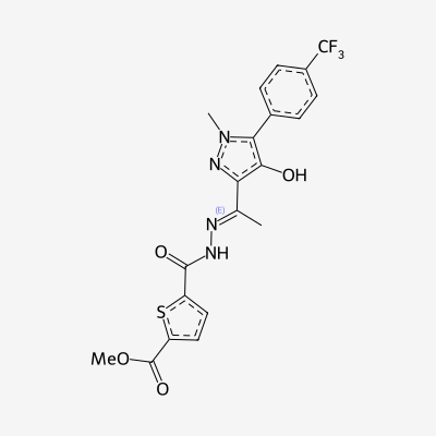 COC(=O)c1ccc(C(=O)N/N=C(\C)c2nn(C)c(-c3ccc(C(F)(F)F)cc3)c2O)s1